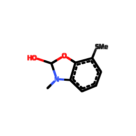 CSc1cccc2c1OC(O)N2C